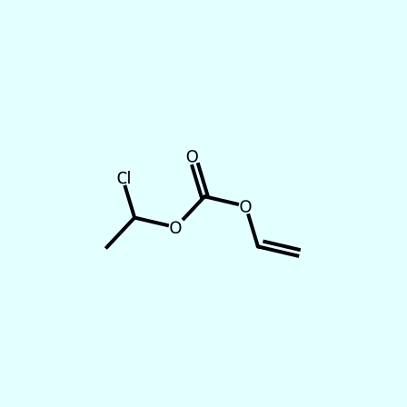 C=COC(=O)OC(C)Cl